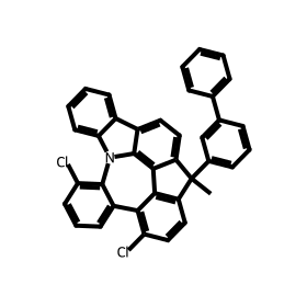 CC1(c2cccc(-c3ccccc3)c2)c2ccc(Cl)c3c2-c2c1ccc1c4ccccc4n(c21)-c1c(Cl)cccc1-3